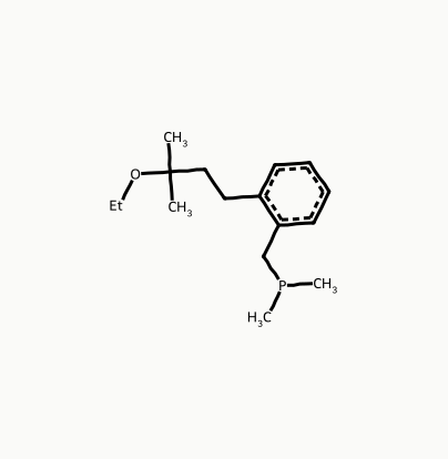 CCOC(C)(C)CCc1ccccc1CP(C)C